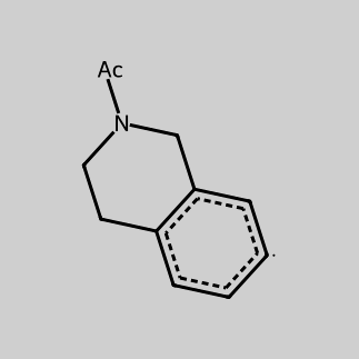 CC(=O)N1CCc2cc[c]cc2C1